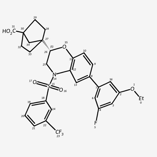 CCOc1cc(F)cc(-c2ccc3c(c2)N(S(=O)(=O)c2cccc(C(F)(F)F)c2)C[C@H](C24CCC(C(=O)O)(CC2)C4)O3)c1